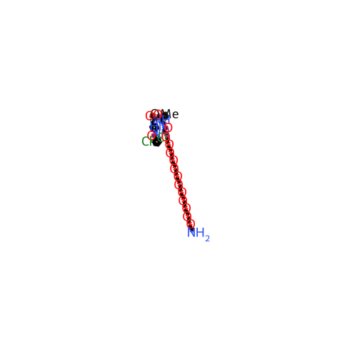 COC(=O)[C@H](Cc1ccc(NC(=O)c2c(Cl)cccc2Cl)cc1)NC(=O)C1(CCNC(=O)CCOCCOCCOCCOCCOCCOCCOCCOCCOCCOCCOCCOCCN)CCCC1